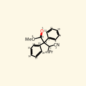 CCCC(C#N)C(C(=O)OC)(c1ccccc1)c1ccccc1